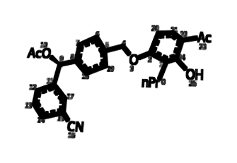 CCCc1c(OCc2ccc([C@H](OC(C)=O)c3cccc(C#N)c3)cc2)ccc(C(C)=O)c1O